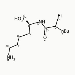 CCCCC(CC)C(=O)N[C@@H](CCCCN)C(=O)O